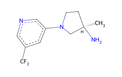 C[C@@]1(N)CCN(c2cncc(C(F)(F)F)c2)C1